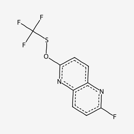 Fc1ccc2nc(OSC(F)(F)F)ccc2n1